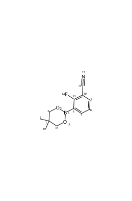 CC1(C)COB(c2cccc(C#N)c2F)OC1